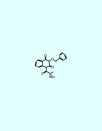 CCCCN(C)C(=O)C1C(=O)N(OCc2ccccc2)C(=O)c2ccccc21